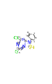 SN(c1ccccc1)c1nc(Cl)nc(Cl)n1